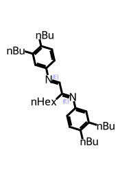 CCCCCCC(/C=N/c1ccc(CCCC)c(CCCC)c1)=N\c1ccc(CCCC)c(CCCC)c1